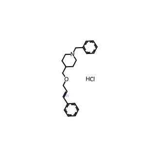 C(=C\c1ccccc1)/COCC1CCN(Cc2ccccc2)CC1.Cl